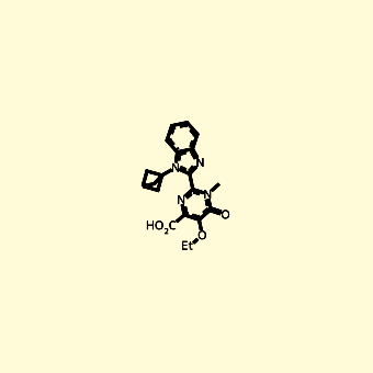 CCOc1c(C(=O)O)nc(-c2nc3ccccc3n2C23CC(C2)C3)n(C)c1=O